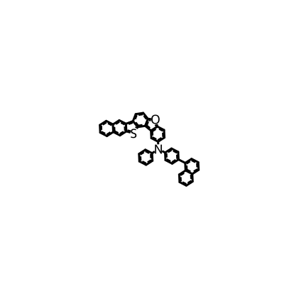 c1ccc(N(c2ccc(-c3cccc4ccccc34)cc2)c2ccc3oc4ccc5c6cc7ccccc7cc6sc5c4c3c2)cc1